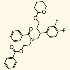 O=C(OCCN(CC(CCOC1CCCCO1)c1ccc(F)c(F)c1)C(=O)c1ccccc1)c1ccccc1